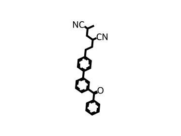 CC(C#N)CC(C#N)CCc1ccc(-c2cccc(C(=O)c3ccccc3)c2)cc1